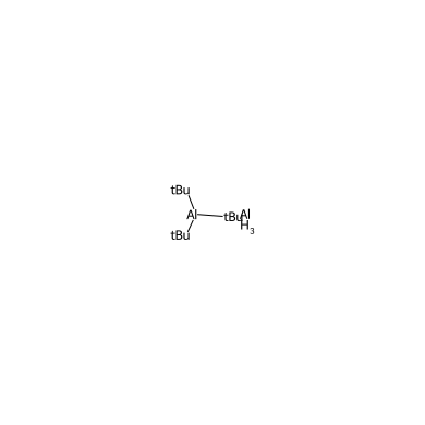 C[C](C)(C)[Al]([C](C)(C)C)[C](C)(C)C.[AlH3]